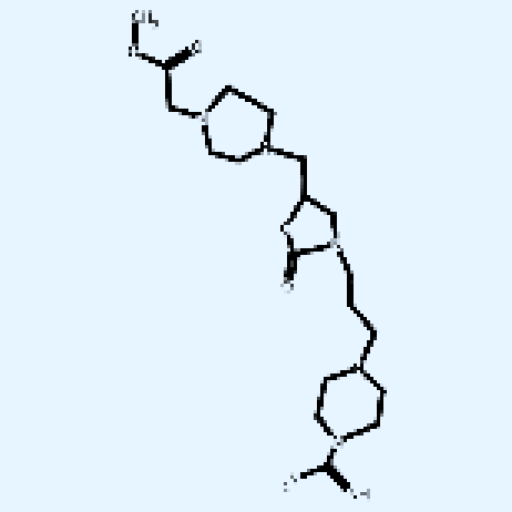 COC(=O)CN1CCN(CC2CN(CCCN3CCN(C(=N)N)CC3)C(=O)O2)CC1